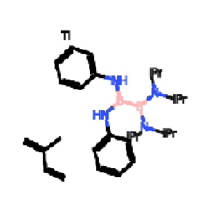 C=CC(=C)C.CC(C)N(B(B(Nc1ccccc1)Nc1ccccc1)N(C(C)C)C(C)C)C(C)C.[Ti]